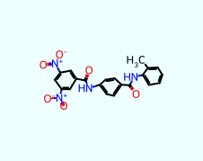 Cc1ccccc1NC(=O)c1ccc(NC(=O)c2cc([N+](=O)[O-])cc([N+](=O)[O-])c2)cc1